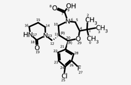 CC(C)(C)C1CN(C(=O)O)C[C@@H](CN2CCCNC2=O)[C@H](c2ccc(Cl)c(F)c2)O1